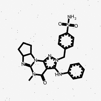 CN1C(=O)c2c(nn(Cc3ccc(S(N)(=O)=O)cc3)c2Nc2ccccc2)N2C1=NC1CCCC12